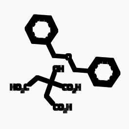 O=C(O)CC(O)(CC(=O)O)C(=O)O.c1ccc(COCc2ccccc2)cc1